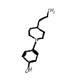 CCCC1CCN(c2ccc(O)cc2)CC1